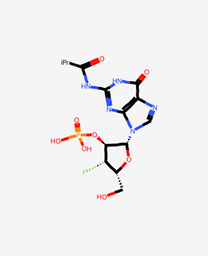 CC(C)C(=O)Nc1nc2c(ncn2[C@@H]2O[C@H](CO)[C@H](F)[C@H]2OP(=O)(O)O)c(=O)[nH]1